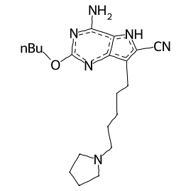 CCCCOc1nc(N)c2[nH]c(C#N)c(CCCCCN3CCCC3)c2n1